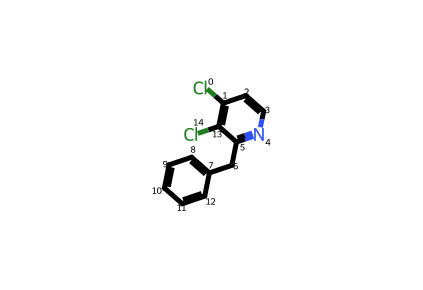 Clc1ccnc(Cc2ccccc2)c1Cl